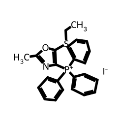 CCSc1oc(C)nc1[P+](c1ccccc1)(c1ccccc1)c1ccccc1.[I-]